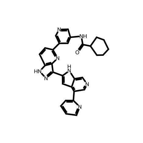 O=C(Nc1cncc(-c2ccc3[nH]nc(-c4cc5c(-c6ccccn6)cncc5[nH]4)c3n2)c1)C1CCCCC1